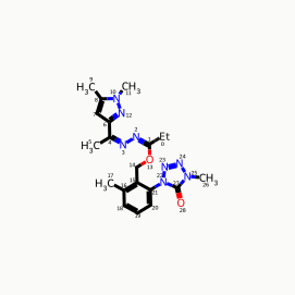 CC/C(=N/N=C(C)c1cc(C)n(C)n1)OCc1c(C)cccc1-n1nnn(C)c1=O